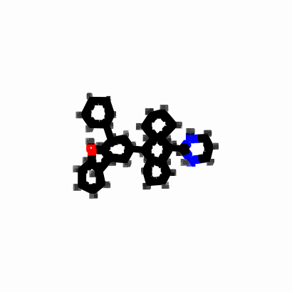 c1ccc(-c2cc(-c3c4ccccc4c(-c4ncccn4)c4ccccc34)cc3c2oc2ccccc23)cc1